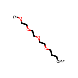 CCOCCOCCOCCOCCCOC